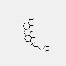 CCCC1CC2Cc3ccc(C(C)(C)CCCC4C=CC=C4)c(C)c3C(=O)C2=C(C)C1C(=O)CC(C)=O